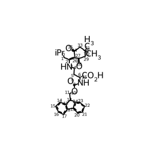 CC(C)CC(NCC[C@H](NC(=O)OCC1c2ccccc2-c2ccccc21)C(=O)O)=C1C(=O)CC(C)(C)CC1=O